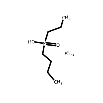 CCCCP(=O)(O)CCC.[AlH3]